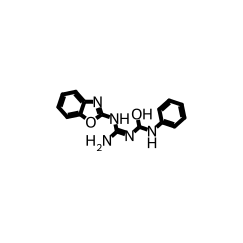 N/C(=N/C(O)Nc1ccccc1)Nc1nc2ccccc2o1